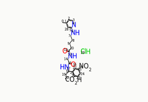 Cc1ccnc(NCCCCC(=O)NCC(=O)NC(CC(=O)O)c2cccc([N+](=O)[O-])c2)c1.Cl